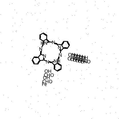 O=CO.O=CO.O=CO.O=CO.O=CO.O=CO.O=CO.O=CO.[Fe].c1ccc2c(c1)-c1nc-2nc2[nH]c(nc3nc(nc4[nH]c(n1)c1ccccc41)-c1ccccc1-3)c1ccccc21